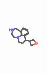 c1cc2c3c(c1)C(C1COC1)CCN3CCNC2